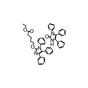 CCOC(=O)CCCCOc1nc(-c2ccccc2)c(-c2ccccc2)n1-c1ccccc1.O=c1[nH]c(-c2ccccc2)c(-c2ccccc2)n1-c1ccccc1